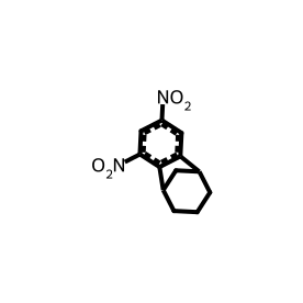 O=[N+]([O-])c1cc2c(c([N+](=O)[O-])c1)C1CCCC2C1